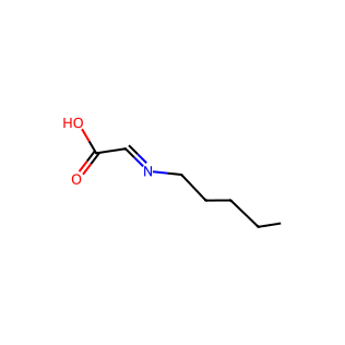 CCCCCN=CC(=O)O